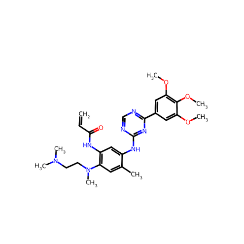 C=CC(=O)Nc1cc(Nc2ncnc(-c3cc(OC)c(OC)c(OC)c3)n2)c(C)cc1N(C)CCN(C)C